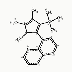 CC1=C(C)C(C)C(c2cccc3cccnc23)=C1[Si](C)(C)C